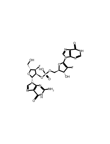 Nc1nc2c(ncn2[C@@H]2O[C@H](CO)[C@@H](F)[C@H]2OP(=O)(O)OC[C@H]2OC(n3cnc4c(=O)[nH]cnc43)=C(F)[C@@H]2O)c(=O)[nH]1